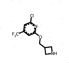 FC(F)(F)c1cc(Cl)nc(OCC2CNC2)c1